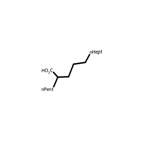 CCCCCCCCCCC(CCCCC)C(=O)O